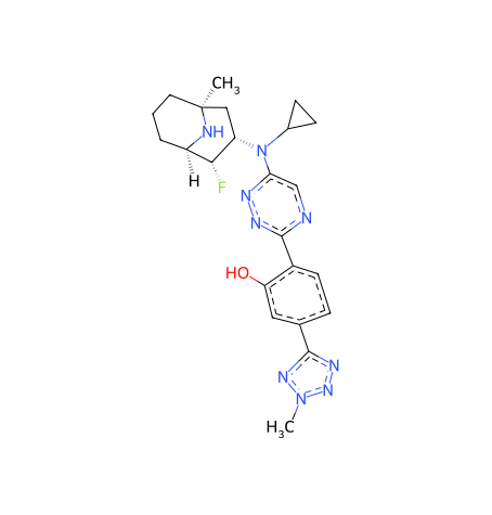 Cn1nnc(-c2ccc(-c3ncc(N(C4CC4)[C@H]4C[C@]5(C)CCC[C@@H](N5)[C@H]4F)nn3)c(O)c2)n1